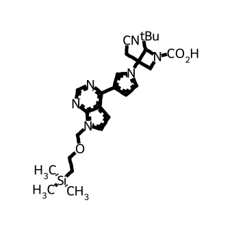 CC(C)(C)C1N(C(=O)O)CC1(CC#N)n1ccc(-c2ncnc3c2ccn3COCC[Si](C)(C)C)c1